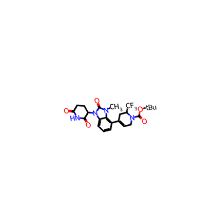 Cn1c(=O)n(C2CCC(=O)NC2=O)c2cccc(C3=CCN(C(=O)OC(C)(C)C)C(C(F)(F)F)C3)c21